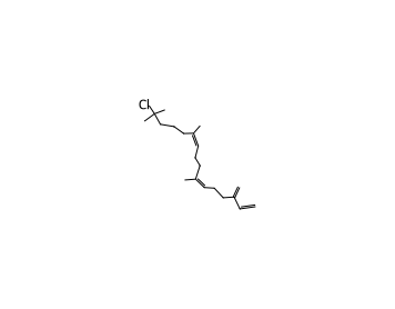 C=CC(=C)CCC=C(C)CCC=C(C)CCCC(C)(C)Cl